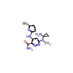 CN(c1cc(Nc2cccc(C(C)(C)C)n2)c(C(N)=O)nn1)C1(N)CC1